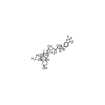 CC[C@@H]1C2C[C@H](O)CC[C@]2(C)[C@H]2CC[C@]3(C)[C@@H]([C@H](C)CCNC(=O)NS(=O)(=O)c4ccc(C5(C(F)(F)F)CC5)cc4)CC[C@H]3[C@@H]2[C@@H]1O